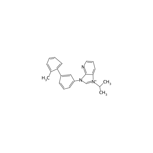 Cc1ccccc1-c1cccc(-n2c[n+](C(C)C)c3cccnc32)c1